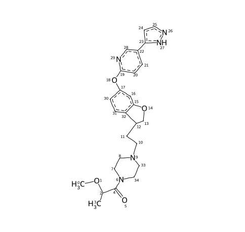 COC(C)C(=O)N1CCN(CCC2COc3cc(Oc4ccc(-c5ccn[nH]5)cn4)ccc32)CC1